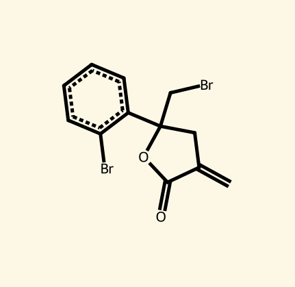 C=C1CC(CBr)(c2ccccc2Br)OC1=O